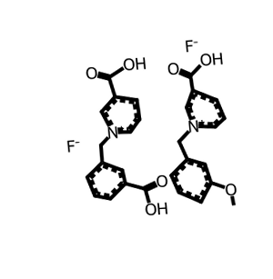 COc1cccc(C[n+]2cccc(C(=O)O)c2)c1.O=C(O)c1cccc(C[n+]2cccc(C(=O)O)c2)c1.[F-].[F-]